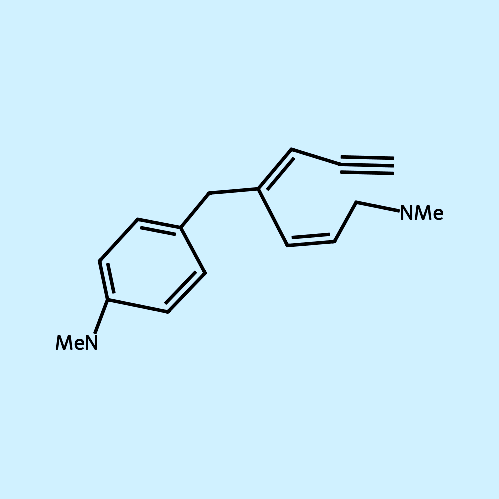 C#C/C=C(\C=C/CNC)Cc1ccc(NC)cc1